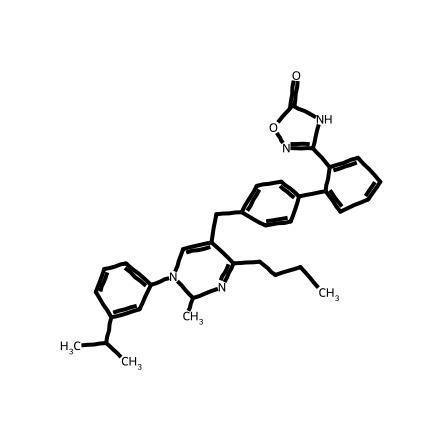 CCCCC1=NC(C)N(c2cccc(C(C)C)c2)C=C1Cc1ccc(-c2ccccc2-c2noc(=O)[nH]2)cc1